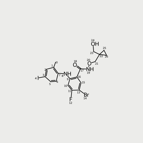 Cc1cc(I)ccc1Nc1cc(F)c(Br)cc1C(=O)NOCC1(CO)CC1